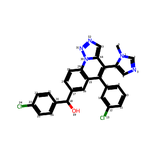 Cn1cncc1-c1c(-c2cccc(Cl)c2)c2cc(C(O)c3ccc(Cl)cc3)ccc2n2nncc12